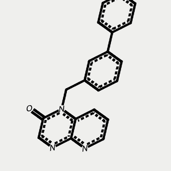 O=c1cnc2ncccc2n1Cc1cccc(-c2ccncc2)c1